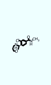 CNC(=O)c1ccc([C@H]2COCCCN2)c(Cl)c1